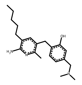 CCCCCc1cc(Cc2ccc(CN(C)C)cc2O)c(C)nc1N